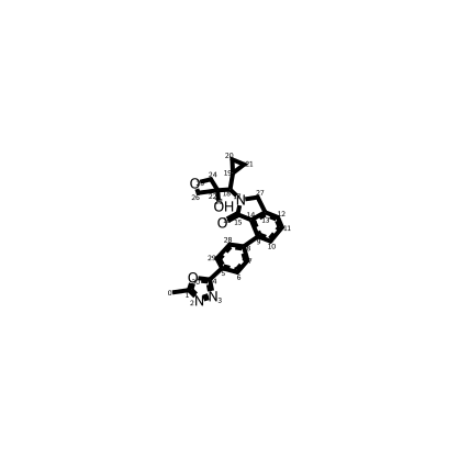 Cc1nnc(-c2ccc(-c3cccc4c3C(=O)N(C(C3CC3)C3(O)COC3)C4)cc2)o1